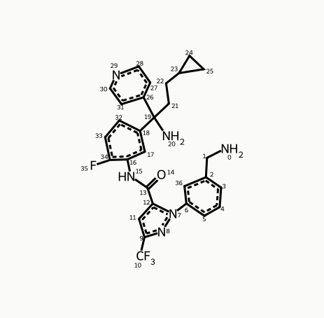 NCc1cccc(-n2nc(C(F)(F)F)cc2C(=O)Nc2cc(C(N)(CCC3CC3)c3ccncc3)ccc2F)c1